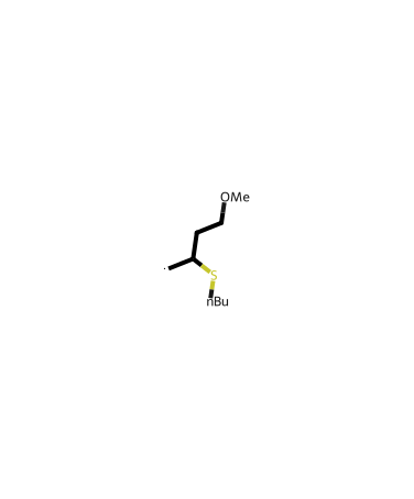 [CH2]C(CCOC)SCCCC